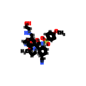 COc1ccc(S(=O)(=O)N2C(=O)C(c3cc(CNCCO)ccc3OC)(N3CCC[C@H]3c3ncco3)c3cc(C#N)ccc32)cc1